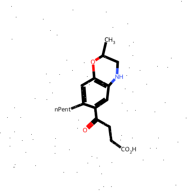 CCCCCc1cc2c(cc1C(=O)CCC(=O)O)NCC(C)O2